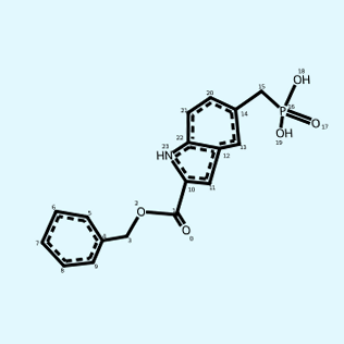 O=C(OCc1ccccc1)c1cc2cc(CP(=O)(O)O)ccc2[nH]1